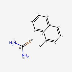 Cc1cccc2ccccc12.NC(N)=S